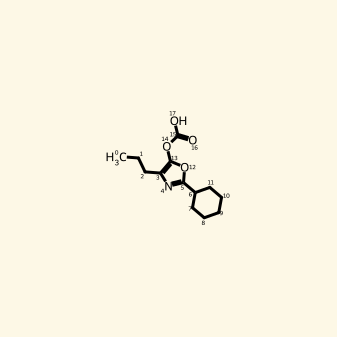 CCCc1nc(C2CCCCC2)oc1OC(=O)O